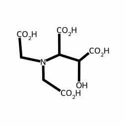 O=C(O)CN(CC(=O)O)C(C(=O)O)C(O)C(=O)O